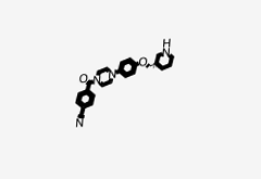 N#Cc1ccc(C(=O)N2CCN(c3ccc(OC[C@H]4CCCNC4)cc3)CC2)cc1